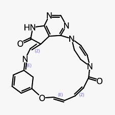 O=C1Nc2ncnc3c2/C1=C/N=C1/C=CC=C(C1)O/C=C/C=C\C(=O)N1C=CN3CC1